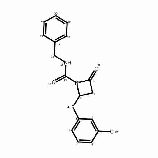 O=C1CC(Sc2cccc(Cl)c2)N1C(=O)NCc1ccccc1